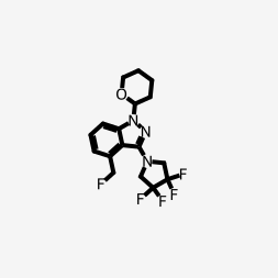 FCc1cccc2c1c(N1CC(F)(F)C(F)(F)C1)nn2C1CCCCO1